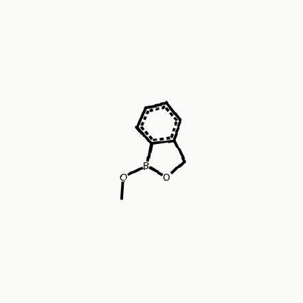 COB1OCc2ccccc21